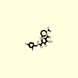 O=C(NCc1ccc(F)cc1F)c1cn2c(c(O)c1=O)C(=O)N1C[C@@H]2CCC[C@@H]1C(F)F